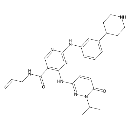 C=CCNC(=O)c1cnc(Nc2cccc(C3CCNCC3)c2)nc1Nc1ccc(=O)n(C(C)C)n1